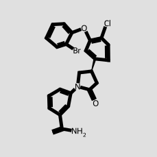 C=C(N)c1cccc(N2C[C@@H](c3ccc(Cl)c(Oc4ccccc4Br)c3)CC2=O)c1